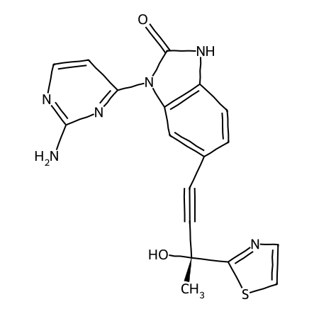 C[C@@](O)(C#Cc1ccc2[nH]c(=O)n(-c3ccnc(N)n3)c2c1)c1nccs1